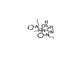 CCCN(c1ccccc1)c1ncnc(S)c1NC(=O)C(CC)N(CCC)c1ccccc1